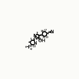 CP(C)c1ccc(-n2ncc(-c3ccc(C#N)cc3)c2O)nc1